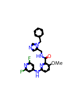 COc1ccc(Nc2cc(F)nc(F)c2)nc1C(=O)NCc1cncn1Cc1ccccc1